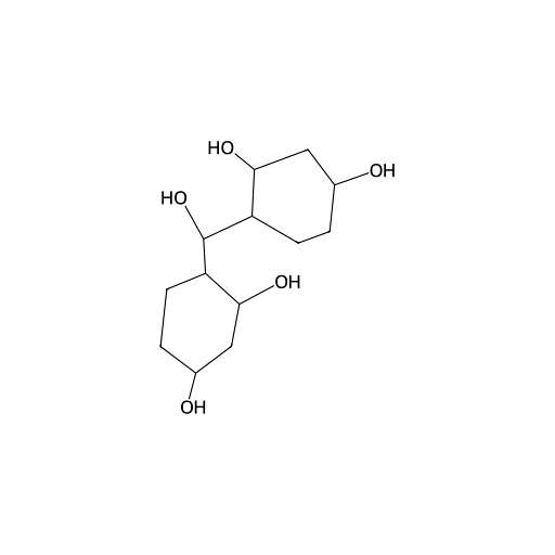 OC1CCC(C(O)C2CCC(O)CC2O)C(O)C1